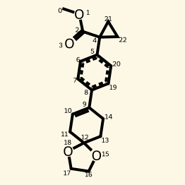 COC(=O)C1(c2ccc(C3=CCC4(CC3)OCCO4)cc2)CC1